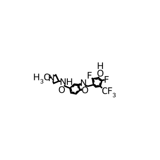 CN1CC(NC(=O)c2ccc3oc(-c4cc(C(F)(F)F)c(F)c(O)c4F)nc3c2)C1